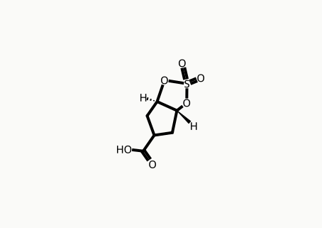 O=C(O)C1C[C@H]2OS(=O)(=O)O[C@@H]2C1